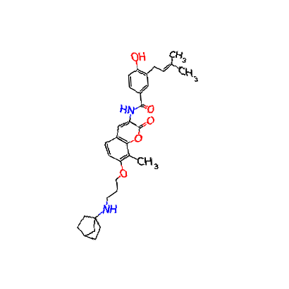 CC(C)=CCc1cc(C(=O)Nc2cc3ccc(OCCCNC45CCC(CC4)C5)c(C)c3oc2=O)ccc1O